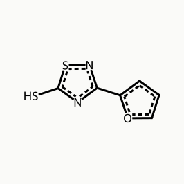 Sc1nc(-c2ccco2)ns1